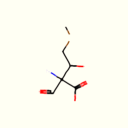 CSCC(O)C(N)(C=O)C(=O)O